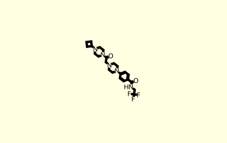 O=C(NCC(F)(F)F)c1ccc(N2CCN(CC(=O)N3CCN(C4CCC4)CC3)CC2)cc1